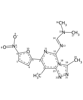 Cc1c(-c2ccc([N+](=O)[O-])o2)nc(N=CN(C)C)n2c(C)nnc12